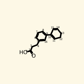 O=C(O)CCc1cccc(C2=CCCC=C2)c1